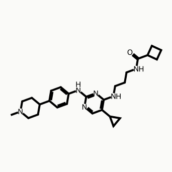 CN1CCC(c2ccc(Nc3ncc(C4CC4)c(NCCCNC(=O)C4CCC4)n3)cc2)CC1